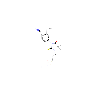 CCc1cc(N2C(=O)C(C)(C)N(CCCS(N)(=O)=O)C2=S)ccc1C#N